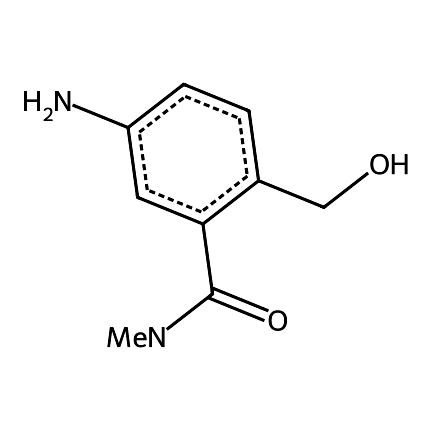 CNC(=O)c1cc(N)ccc1CO